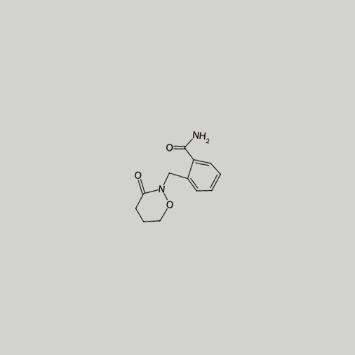 NC(=O)c1ccccc1CN1OCCCC1=O